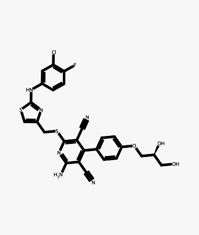 N#Cc1c(N)nc(SCc2csc(Nc3ccc(F)c(Cl)c3)n2)c(C#N)c1-c1ccc(OC[C@@H](O)CO)cc1